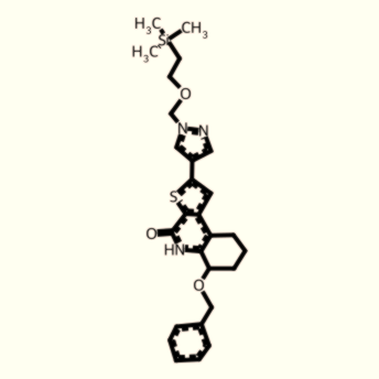 C[Si](C)(C)CCOCn1cc(-c2cc3c4c([nH]c(=O)c3s2)C(OCc2ccccc2)CCC4)cn1